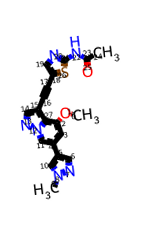 COc1cc(-c2cnn(C)c2)cn2ncc(C#Cc3cnc(NC(C)=O)s3)c12